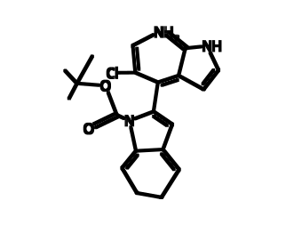 C=c1[nH]cc/c1=C(/C(Cl)=C\N)c1cc2c(n1C(=O)OC(C)(C)C)=CCCC=2